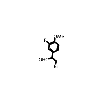 COc1ccc(C(C=O)CBr)cc1F